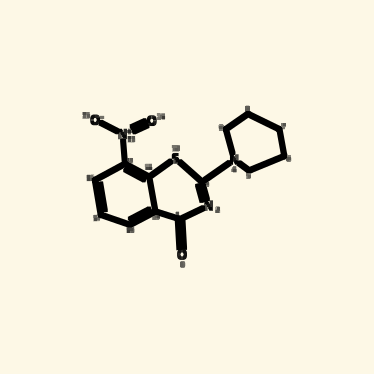 O=c1nc(N2CCCCC2)sc2c([N+](=O)[O-])cccc12